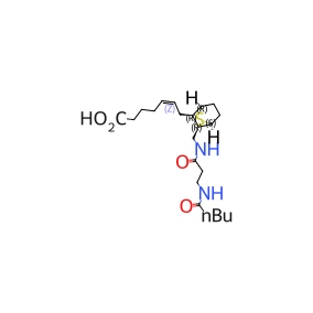 CCCCC(=O)NCCC(=O)NC[C@H]1[C@@H](C/C=C\CCCC(=O)O)[C@H]2CC[C@@H]1S2